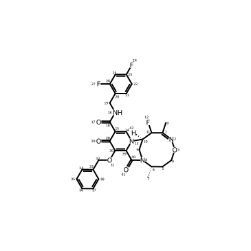 C/C1=N/OCC[C@H](C)N2C[C@H](C1F)n1cc(C(=O)NCc3ccc(F)cc3F)c(=O)c(OCc3ccccc3)c1C2=O